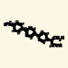 CCCCCC(C(=O)O)c1ccc(-c2cnc(-c3ccc(CCC)cc3)nc2)cc1